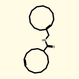 O=C(NC/C1=C/CCCCCCCCCC1)C1CCC/C=C\CCCCCC1